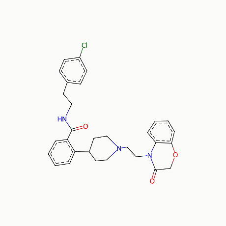 O=C(NCCc1ccc(Cl)cc1)c1ccccc1C1CCN(CCN2C(=O)COc3ccccc32)CC1